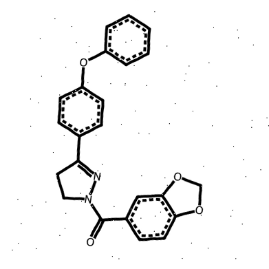 O=C(c1ccc2c(c1)OCO2)N1CCC(c2ccc(Oc3ccccc3)cc2)=N1